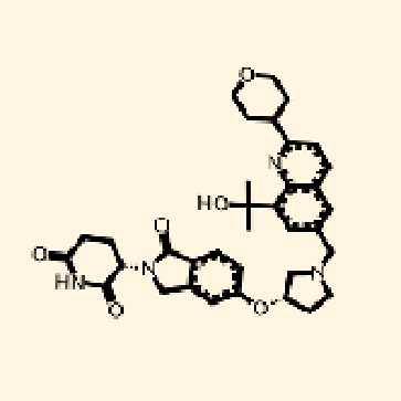 CC(C)(O)c1cc(CN2CC[C@H](Oc3ccc4c(c3)CN([C@H]3CCC(=O)NC3=O)C4=O)C2)cc2ccc(C3CCOCC3)nc12